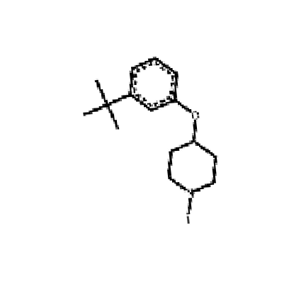 CC(C)(C)c1cccc(OC2CCN(I)CC2)c1